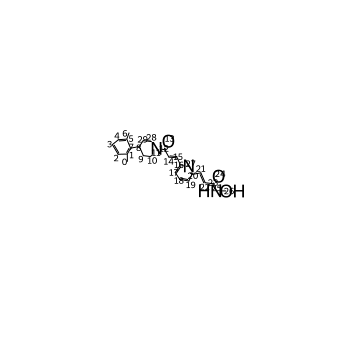 Cc1cccc(C)c1C1CCN(C(=O)C=Cc2cccc(C=CC(=O)NO)n2)CC1